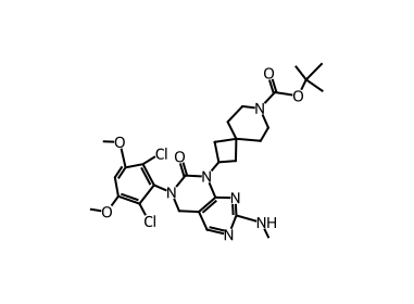 CNc1ncc2c(n1)N(C1CC3(CCN(C(=O)OC(C)(C)C)CC3)C1)C(=O)N(c1c(Cl)c(OC)cc(OC)c1Cl)C2